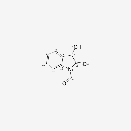 O=CN1C(=O)C(O)c2ccccc21